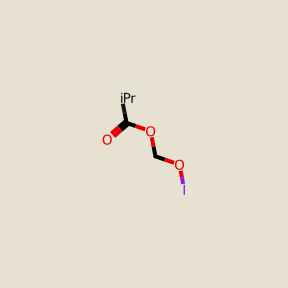 CC(C)C(=O)OCOI